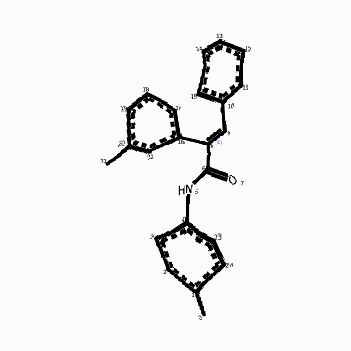 Cc1ccc(NC(=O)/C(=C/c2ccccc2)c2cccc(C)c2)cc1